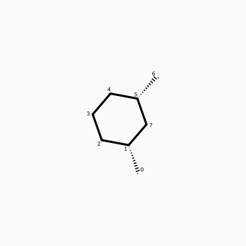 [CH2][C@@H]1CCC[C@H]([CH2])C1